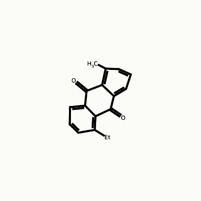 CCc1cccc2c1C(=O)c1cccc(C)c1C2=O